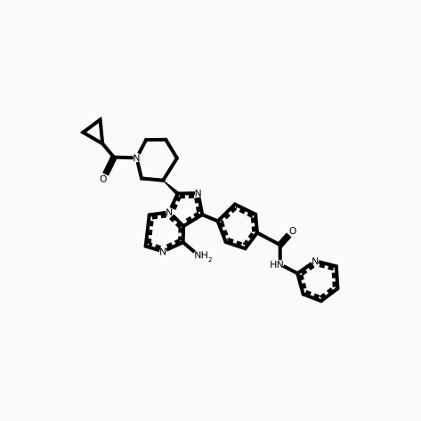 Nc1nccn2c([C@@H]3CCCN(C(=O)C4CC4)C3)nc(-c3ccc(C(=O)Nc4ccccn4)cc3)c12